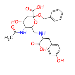 CC(=O)N[C@@H]1C(O)C[C@](OCc2ccccc2)(C(=O)O)OC1CN[C@@H](Cc1ccc(O)cc1)C(=O)O